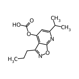 CCCc1noc2nc(C(C)C)cc(OC(=O)O)c12